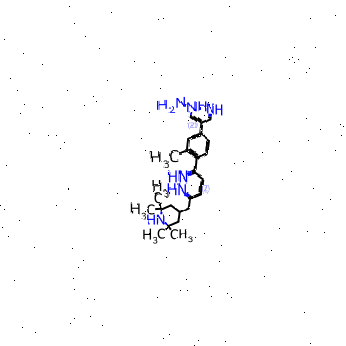 Cc1cc(/C(C=N)=C/NN)ccc1C(=N)/C=C\C(=N)CC1CC(C)(C)NC(C)(C)C1